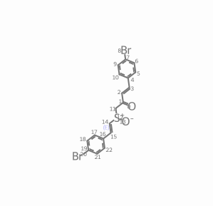 O=C(C=Cc1ccc(Br)cc1)C[S+]([O-])/C=C/c1ccc(Br)cc1